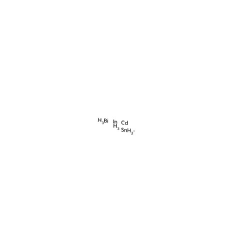 [BiH3].[Cd].[InH3].[SnH2]